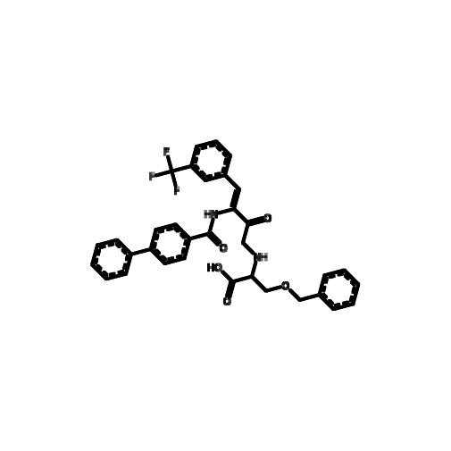 O=C(CNC(COCc1ccccc1)C(=O)O)C(=Cc1cccc(C(F)(F)F)c1)NC(=O)c1ccc(-c2ccccc2)cc1